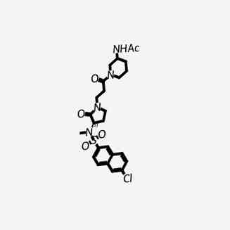 CC(=O)NC1CCCN(C(=O)CCN2CC[C@H](N(C)S(=O)(=O)c3ccc4cc(Cl)ccc4c3)C2=O)C1